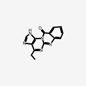 CCc1nc2nc3ccccc3c(=O)n2c2[nH]cnc12